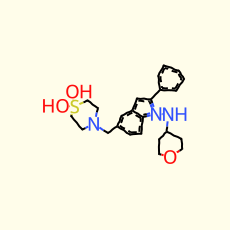 OS1(O)CCN(Cc2ccc3c(c2)cc(-c2ccccc2)n3NC2CCOCC2)CC1